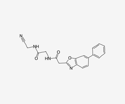 N#CCNC(=O)CNC(=O)Cc1nc2ccc(-c3ccccc3)cc2o1